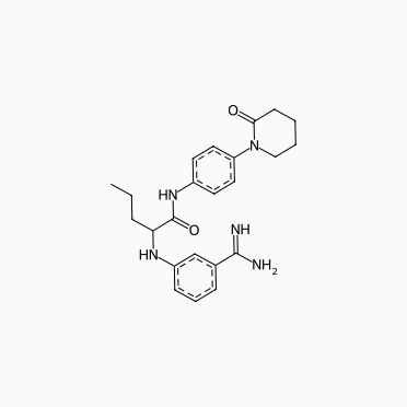 CCCC(Nc1cccc(C(=N)N)c1)C(=O)Nc1ccc(N2CCCCC2=O)cc1